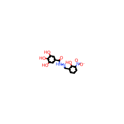 O=C(NN=Cc1cccc([N+](=O)[O-])c1O)c1cc(O)c(O)c(O)c1